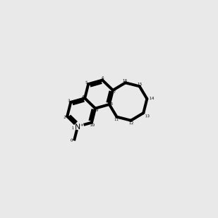 C[n+]1ccc2ccc3c(c2c1)CCCCCC3